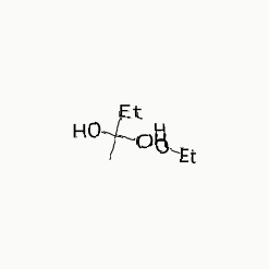 CCC(C)(O)O.CCO